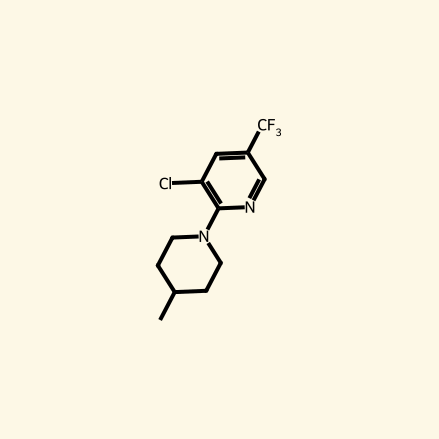 CC1CCN(c2ncc(C(F)(F)F)cc2Cl)CC1